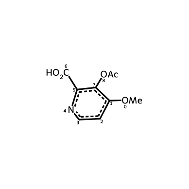 COc1ccnc(C(=O)O)c1OC(C)=O